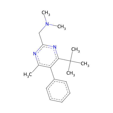 Cc1nc(CN(C)C)nc(C(C)(C)C)c1-c1ccccc1